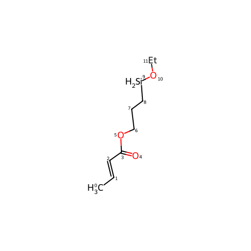 CC=CC(=O)OCCC[SiH2]OCC